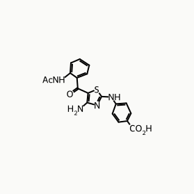 CC(=O)Nc1ccccc1C(=O)c1sc(Nc2ccc(C(=O)O)cc2)nc1N